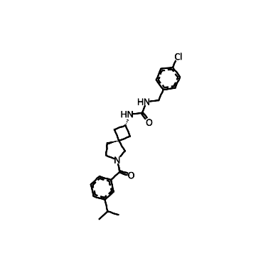 CC(C)c1cccc(C(=O)N2CC[C@]3(C2)C[C@@H](NC(=O)NCc2ccc(Cl)cc2)C3)c1